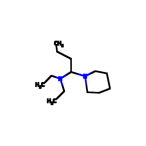 CCCC(N(CC)CC)N1CCCCC1